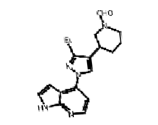 CCc1nn(-c2ccnc3[nH]ccc23)cc1C1CCCN(C=O)C1